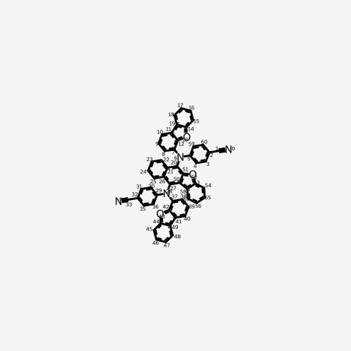 N#Cc1ccc(N(c2cccc3c2oc2ccccc23)c2c3ccccc3c(N(c3ccc(C#N)cc3)c3cccc4c3oc3ccccc34)c3c2oc2ccccc23)cc1